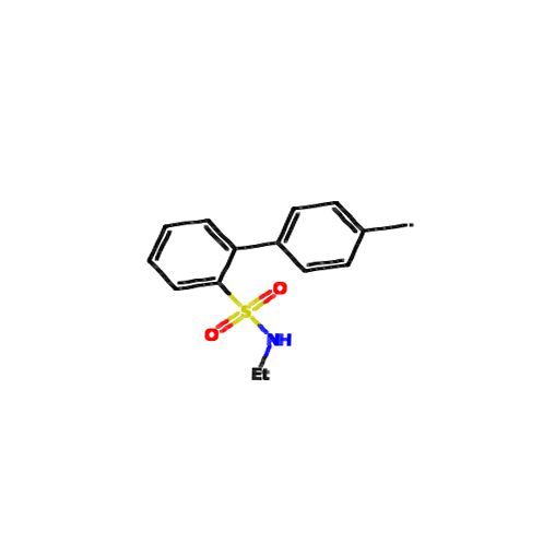 [CH2]c1ccc(-c2ccccc2S(=O)(=O)NCC)cc1